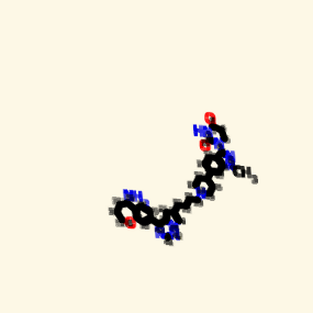 Cn1nc(N2CCC(=O)NC2=O)c2ccc(C3CCN(CCCCc4cc5c(-c6ccc7c(c6)OCCCC7N)ncnn5c4)CC3)cc21